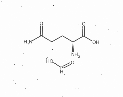 NC(=O)CC[C@H](N)C(=O)O.O=[PH2]O